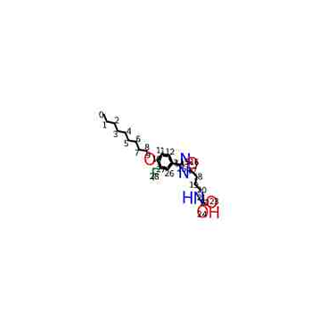 CCCCCCCCCOc1ccc(-c2noc(CCCNC(=O)O)n2)cc1F